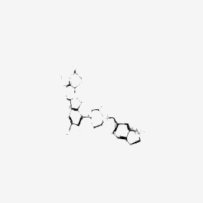 O=C1CCC(N2Cc3c(cc(F)cc3N3CCN(Cc4ccc5cc[nH]c5c4)CC3)C2=O)C(=O)N1